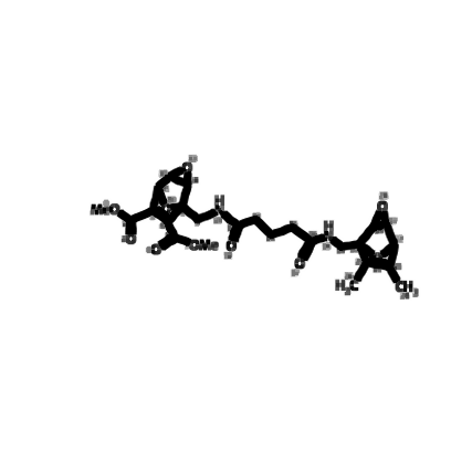 COC(=O)C1=C(C(=O)OC)C2(CNC(=O)CCCC(=O)NCC34OC(C(C)=C3C)C3OC34)OC1C1OC12